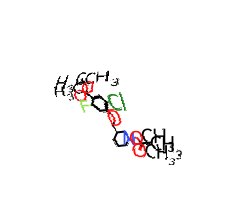 CC(C)(C)OC(=O)c1cc(Cl)c(OC[C@@H]2CCCN(OC(=O)C(C)(C)C)C2)cc1F